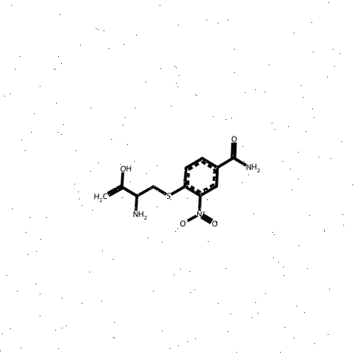 C=C(O)C(N)CSc1ccc(C(N)=O)cc1[N+](=O)[O-]